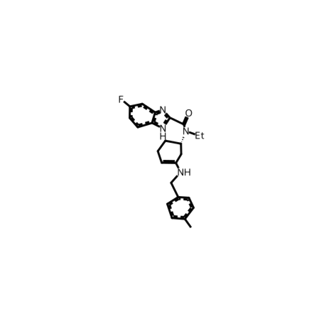 CCN(C(=O)c1nc2cc(F)ccc2[nH]1)[C@H]1CCC=C(NCc2ccc(C)cc2)C1